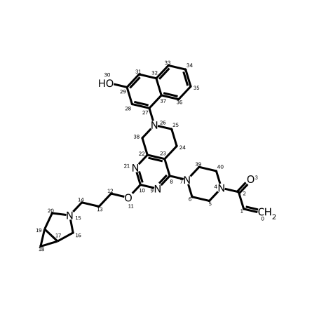 C=CC(=O)N1CCN(c2nc(OCCCN3CC4CC4C3)nc3c2CCN(c2cc(O)cc4ccccc24)C3)CC1